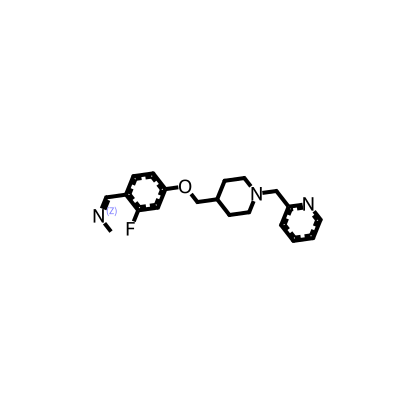 C/N=C\c1ccc(OCC2CCN(Cc3ccccn3)CC2)cc1F